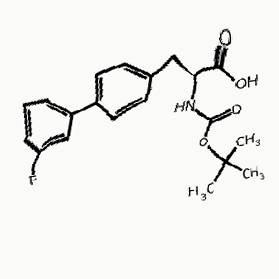 CC(C)(C)OC(=O)N[C@@H](Cc1ccc(-c2cccc(F)c2)cc1)C(=O)O